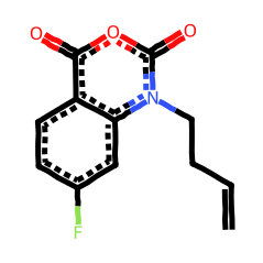 C=CCCn1c(=O)oc(=O)c2ccc(F)cc21